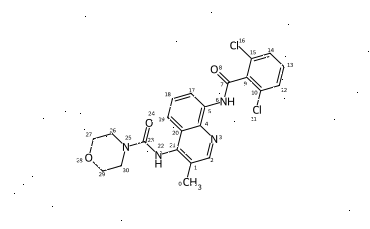 Cc1cnc2c(NC(=O)c3c(Cl)cccc3Cl)cccc2c1NC(=O)N1CCOCC1